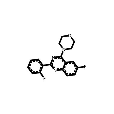 Fc1ccc2nc(-c3ccccc3F)nc(N3CCOCC3)c2c1